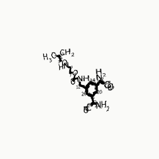 C=C(C)CONCCOC(=O)NCc1cc(C(N)=C=O)cc(C(N)=C=O)c1